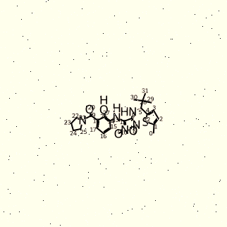 Cc1ccc([C@H](Nc2no[n+]([O-])c2Nc2cccc(C(=O)N3CCCC3)c2O)C(C)(C)C)s1